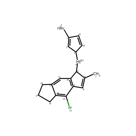 CCCCC1=C[CH]([Hf+2][CH]2C(C)=Cc3c2cc2c(c3Br)CCC2)C=C1